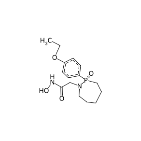 CCOc1ccc(P2(=O)CCCCCN2CC(=O)NO)cc1